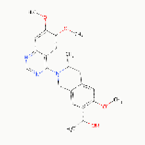 COc1cc2ncnc(N3Cc4cc(C(C)O)c(OC)cc4C[C@H]3C)c2cc1OC